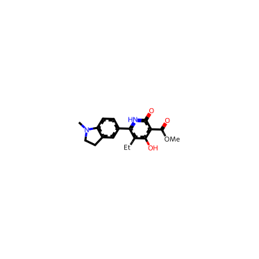 CCc1c(-c2ccc3c(c2)CCN3C)[nH]c(=O)c(C(=O)OC)c1O